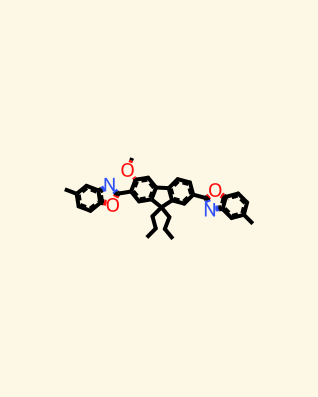 CCCC1(CCC)c2cc(-c3nc4cc(C)ccc4o3)ccc2-c2cc(OC)c(-c3nc4cc(C)ccc4o3)cc21